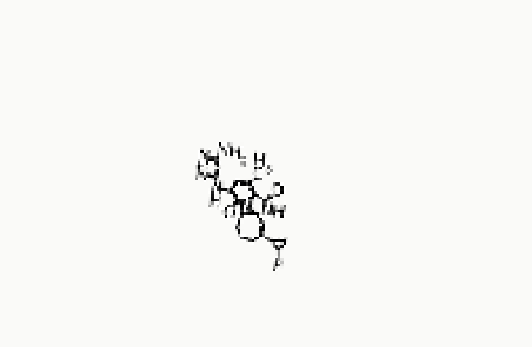 Cc1cc(Nc2cc(N)ncn2)c(=O)n2c1C(=O)NC21C=C(C2CC2F)CCCC1